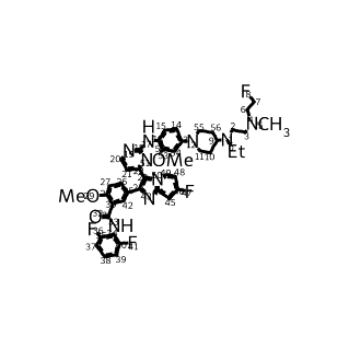 CCN(CCN(C)CCF)C1CCN(c2ccc(Nc3nccc(-c4c(-c5ccc(OC)c(C(=O)Nc6c(F)cccc6F)c5)nc5cc(F)ccn45)n3)c(OC)c2)CC1